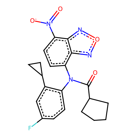 O=C(C1CCCC1)N(c1ccc(F)cc1C1CC1)c1ccc([N+](=O)[O-])c2nonc12